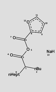 CCCCCCCC(CCCC)C(=O)OC(=O)c1ccco1.[NaH]